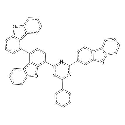 c1ccc(-c2nc(-c3ccc4c(c3)oc3ccccc34)nc(-c3ccc(-c4cccc5oc6ccccc6c45)c4c3oc3ccccc34)n2)cc1